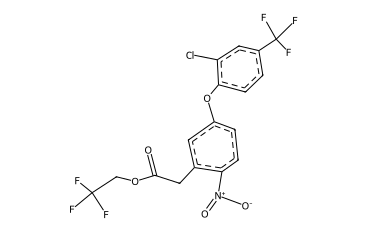 O=C(Cc1cc(Oc2ccc(C(F)(F)F)cc2Cl)ccc1[N+](=O)[O-])OCC(F)(F)F